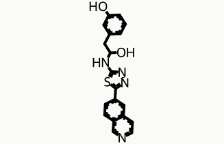 Oc1cccc(CC(O)Nc2nnc(-c3ccc4cnccc4c3)s2)c1